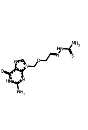 NC(=S)NN=CCOCn1cnc2c(=O)[nH]c(N)nc21